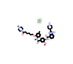 COc1cc(C(=O)N(C)c2ccc(C)cc2OCCCCCC(=O)N2CCN(C)CC2)ccc1NC(=O)c1cccc2[nH]c(C3CCNCC3)nc12.Cl.Cl.Cl